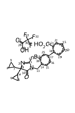 CCCCC1=NC(C2CC2)(C2CC2)C(=O)N1Cc1ccc(-c2ccccc2C(=O)O)cc1.O=C(O)C(F)(F)F